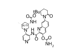 C[C@@H]1C[C@H](NC(=O)OC(C)(C)C)CN(c2ccncc2NC(=O)c2nc3cc(N4CCCCC4=O)ccc3cc2OC(N)=O)C1